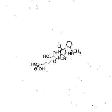 C[C@H](Nc1nc(Cl)nc2c1ncn2C1OC(CCCCP(=O)(O)O)C(O)C1O)c1ccccc1